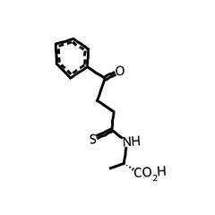 C[C@H](NC(=S)CCC(=O)c1ccccc1)C(=O)O